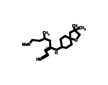 CNCCN(C)C/C(=C/C=N)NC1CCC2(CC1)CC(C)(C)CO2